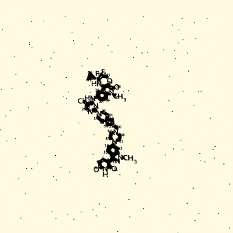 Cn1nc(C2CCC(=O)NC2=O)c2ccc(N3CCN(CC4CC5(CCN(c6ncc(Cl)c(Nc7ccc8c(c7)c7c(c(=O)n8C)OCC(F)(F)[C@H](C8CC8)N7)n6)CC5)C4)CC3)cc21